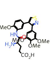 COc1ccc(-c2csnc2-c2cc(OC)c(OC)c(OC)c2)cc1NC(=O)C(N)CCC(=O)O